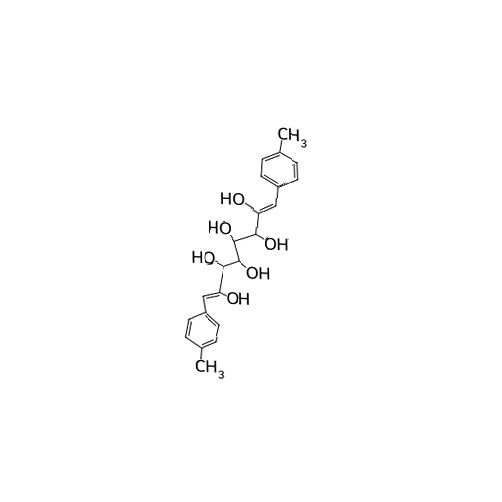 Cc1ccc(C=C(O)C(O)C(O)C(O)C(O)C(O)=Cc2ccc(C)cc2)cc1